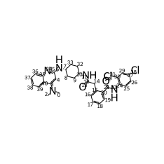 CN(C)c1cc(N[C@H]2CC[C@@H](NC(=O)Cc3ccccc3C(=O)Nc3ccc(Cl)cc3Cl)CC2)nc2ccccc12